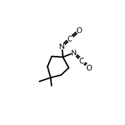 CC1(C)CCC(N=C=O)(N=C=O)CC1